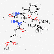 COC(=O)CCCC(=O)N1C[C@@H](OCOC(C)[Si](C)(C)C)[C@@H](Cc2ccccc2)NC(=O)N1